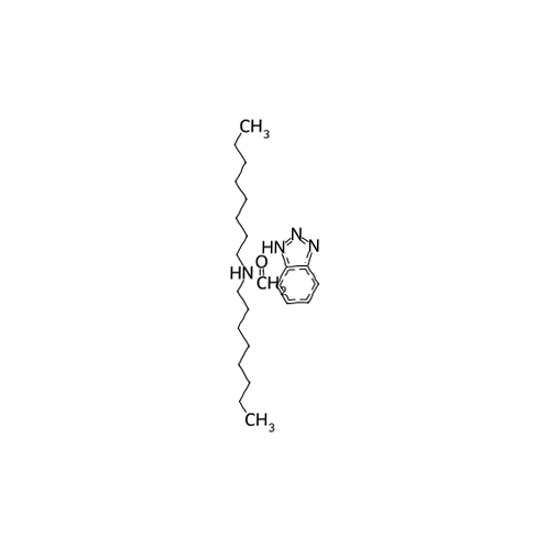 C=O.CCCCCCCCNCCCCCCCC.c1ccc2[nH]nnc2c1